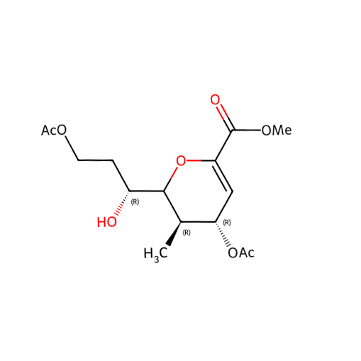 COC(=O)C1=C[C@H](OC(C)=O)[C@@H](C)C([C@H](O)CCOC(C)=O)O1